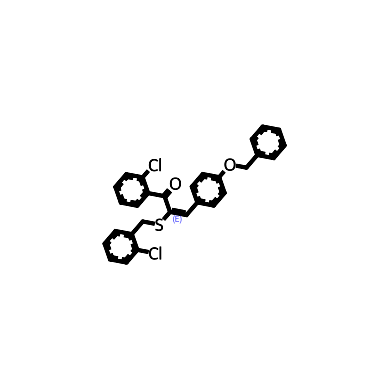 O=C(/C(=C\c1ccc(OCc2ccccc2)cc1)SCc1ccccc1Cl)c1ccccc1Cl